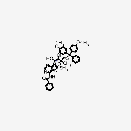 COc1ccc(C(SCC(C)(OC)/C(O)=C(/O)n2cnc3c(NC(=O)c4ccccc4)ncnc32)(c2ccccc2)c2ccc(OC)cc2)cc1